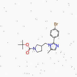 Cc1cnc(-c2ccc(Br)cc2)n1CC1CCN(C(=O)OC(C)(C)C)C1